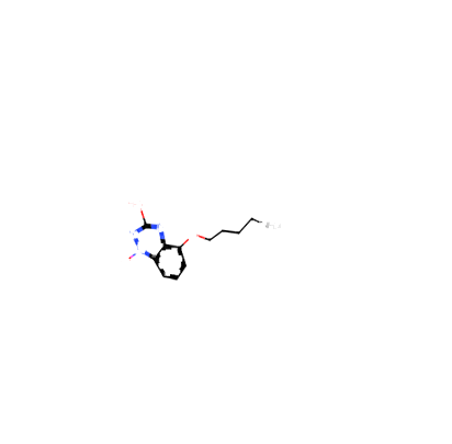 CC(=O)NCCCCOc1cccc2c1nc(O)n[n+]2[O-]